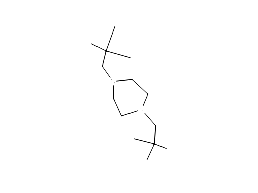 CC(C)(C)CN1CCN(CC(C)(C)S)CC1